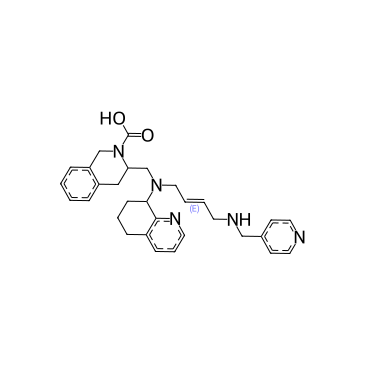 O=C(O)N1Cc2ccccc2CC1CN(C/C=C/CNCc1ccncc1)C1CCCc2cccnc21